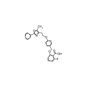 Cc1oc(-c2ccccc2)nc1CCOc1ccc(COc2cccc(F)c2C(=O)O)cc1